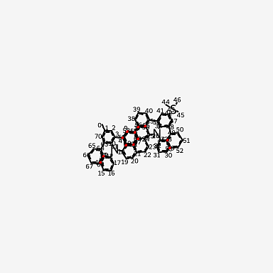 Cc1cc(-c2ccccc2)c(N(c2ccccc2)c2ccc3ccc4c(N(c5ccccc5)c5c(-c6ccccc6)cc(S(C)(C)C)cc5-c5ccccc5)ccc5ccc2c3c54)c(-c2ccccc2)c1